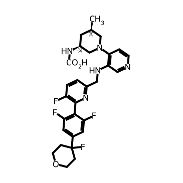 C[C@@H]1C[C@H](NC(=O)O)CN(c2ccncc2NCc2ccc(F)c(-c3c(F)cc(C4(F)CCOCC4)cc3F)n2)C1